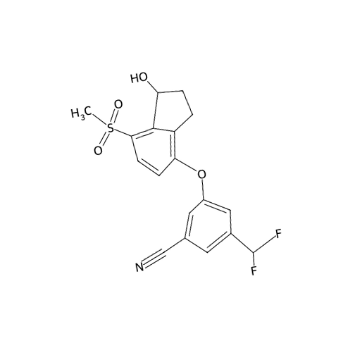 CS(=O)(=O)c1ccc(Oc2cc(C#N)cc(C(F)F)c2)c2c1C(O)CC2